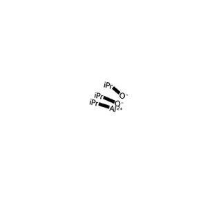 CC(C)[O-].CC(C)[O-].C[CH](C)[Al+2]